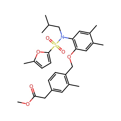 COC(=O)Cc1ccc(COc2cc(C)c(C)cc2N(CC(C)C)S(=O)(=O)c2ccc(C)o2)c(C)c1